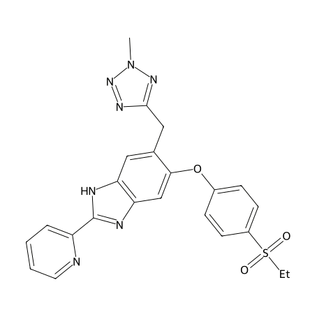 CCS(=O)(=O)c1ccc(Oc2cc3nc(-c4ccccn4)[nH]c3cc2Cc2nnn(C)n2)cc1